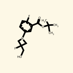 CC(C)(C)OC(=O)c1cc(N2CC(F)(CO)C2)ccc1F